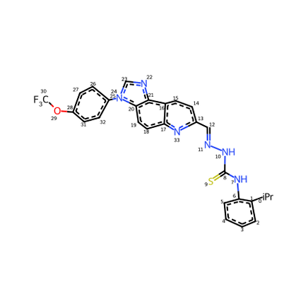 CC(C)c1ccccc1NC(=S)NN=Cc1ccc2c(ccc3c2ncn3-c2ccc(OC(F)(F)F)cc2)n1